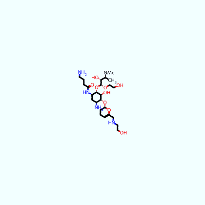 CN[C@@H](C)[C@@H](O)[C@H](OCCO)O[C@@H]1[C@@H](O)[C@H](O[C@@H]2CCC=C(CNCCO)O2)[C@@H](N)C[C@H]1NC(=O)CCCN